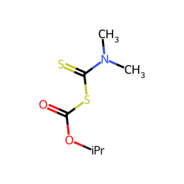 CC(C)OC(=O)SC(=S)N(C)C